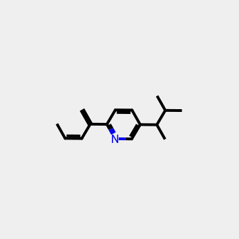 C=C(/C=C\C)c1ccc(C(C)C(C)C)cn1